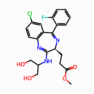 COC(=O)CC[C@@H]1N=C(c2ccccc2F)c2cc(Cl)ccc2N=C1NC(CO)CO